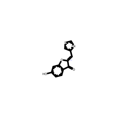 O=C1/C(=C/c2cscn2)Oc2cc(O)ccc21